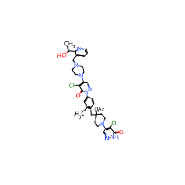 CC(=O)OC1(Cc2ccc(-n3ncc(N4CCN(Cc5cccnc5[C@H](C)O)CC4)c(Cl)c3=O)cc2C)CCN(c2cn[nH]c(=O)c2Cl)CC1